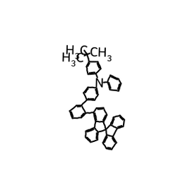 CC(C)(C)c1ccc(N(c2ccccc2)c2ccc(-c3ccccc3-c3cccc4c3-c3ccccc3C43c4ccccc4-c4ccccc43)cc2)cc1